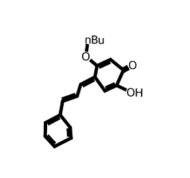 CCCCOC1=CC(=O)C(O)=CC1=CC=Cc1ccccc1